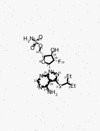 CCC(CC)Sc1nn([C@@H]2O[C@H](COS(N)(=O)=O)[C@@H](O)[C@@H]2F)c2ncnc(N)c12